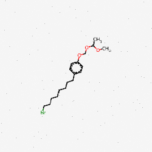 COC(C)OCOc1ccc(CCCCCCCCBr)cc1